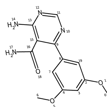 COc1cc(OC)cc(-c2ncnc(N)c2C(N)=O)c1